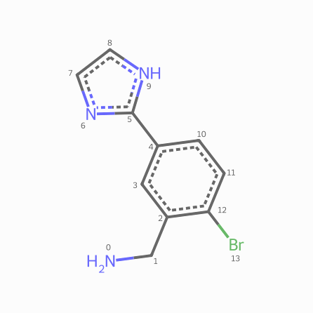 NCc1cc(-c2ncc[nH]2)ccc1Br